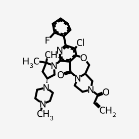 C=CC(=O)N1CCN2C(=O)c3c(N4C[C@H](N5CCN(C)CC5)CC4(C)C)nc(-c4ccccc4F)c(Cl)c3OCC2C1